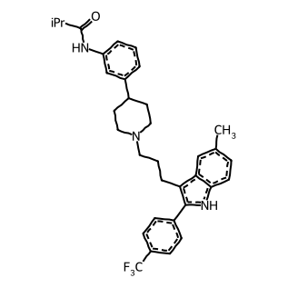 Cc1ccc2[nH]c(-c3ccc(C(F)(F)F)cc3)c(CCCN3CCC(c4cccc(NC(=O)C(C)C)c4)CC3)c2c1